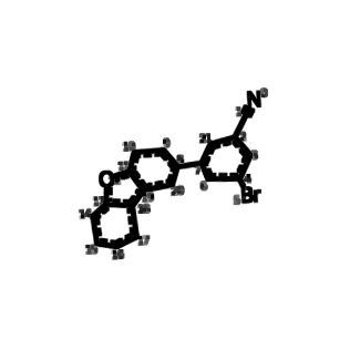 N#Cc1cc(Br)cc(-c2ccc3oc4ccccc4c3c2)c1